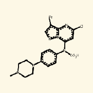 CC(C)c1cnn2c(N(C(=O)O)c3ccc(N4CCN(C)CC4)cc3)cc(Cl)nc12